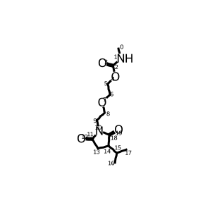 CNC(=O)OCCOCCN1C(=O)CC(C(C)C)C1=O